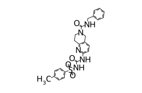 Cc1ccc(S(=O)(=O)NC(=O)Nc2ccc3c(n2)CCN(C(=O)NCc2ccccc2)C3)cc1